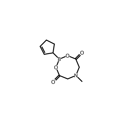 CN1CC(=O)OB(C2C=CCC2)OC(=O)C1